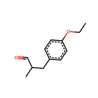 CCOc1ccc(CC(C)C=O)cc1